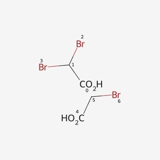 O=C(O)C(Br)Br.O=C(O)CBr